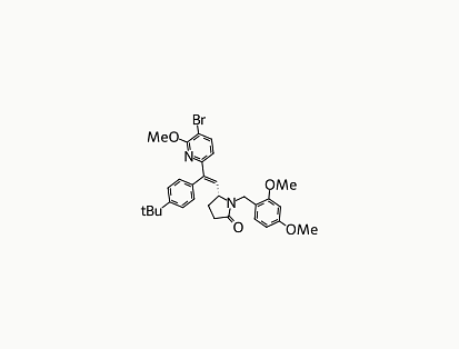 COc1ccc(CN2C(=O)CC[C@@H]2/C=C(\c2ccc(C(C)(C)C)cc2)c2ccc(Br)c(OC)n2)c(OC)c1